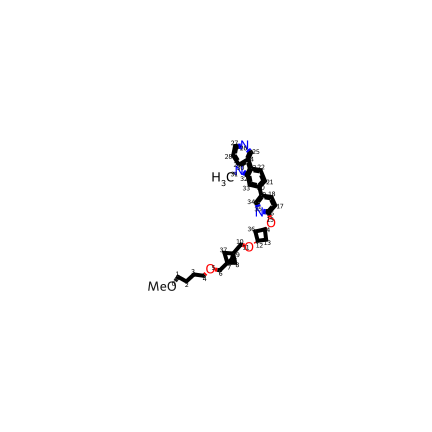 COCCCCOCC12CC(CO[C@H]3C[C@H](Oc4ccc(-c5ccc6c7cnccc7n(C)c6c5)cn4)C3)(C1)C2